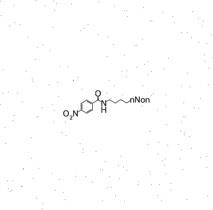 CCCCCCCCCCCCCNC(=O)c1ccc([N+](=O)[O-])cc1